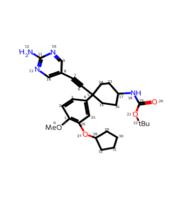 COc1ccc(C2(C#Cc3cnc(N)nc3)CCC(NC(=O)OC(C)(C)C)CC2)cc1OC1CCCC1